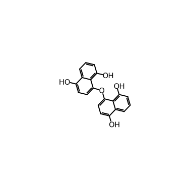 Oc1ccc(Oc2ccc(O)c3cccc(O)c23)c2c(O)cccc12